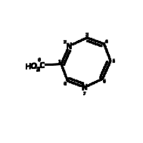 O=C(O)C1=NC=CC=CN=C1